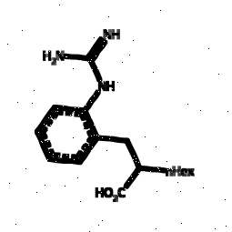 CCCCCCC(Cc1ccccc1NC(=N)N)C(=O)O